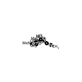 CN[C@@H](C)C(=O)N[C@H](C(=O)N1CCC[C@H]1C(=O)Nc1cc2c(Nc3ccc(N4CCN(C)CC4)cc3)ncnc2cc1OC)C(C)(C)C.Cl.Cl